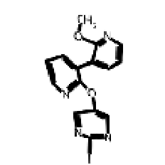 COc1ncccc1-c1cccnc1Oc1cnc(I)nc1